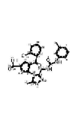 Cc1cccc(NC(=O)NCc2nnc(C)n2-c2sc(C(=O)O)cc2C(=O)c2ccccc2Cl)c1